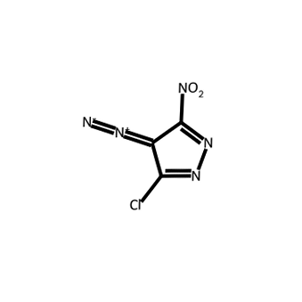 [N-]=[N+]=C1C(Cl)=NN=C1[N+](=O)[O-]